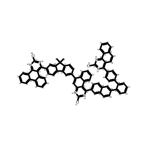 CC1(C)c2ccc(-c3cc4nc(Cl)nc(-c5ccc6cc(-c7ccccc7-c7ccc(-c8nc(Cl)nc9c8ccc8ccccc89)cc7)ccc6c5)c4c4ccccc34)cc2-c2ccc(-c3nc(Cl)nc4c5ccccc5c5ccccc5c34)cc21